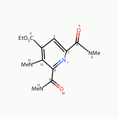 CCOC(=O)c1cc(C(=O)NC)nc(C(=O)NC)c1NC